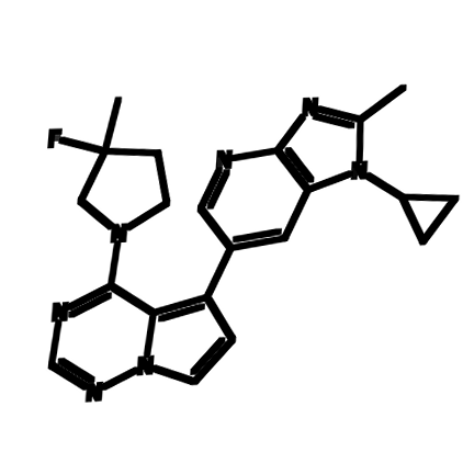 Cc1nc2ncc(-c3ccn4ncnc(N5CCC(C)(F)C5)c34)cc2n1C1CC1